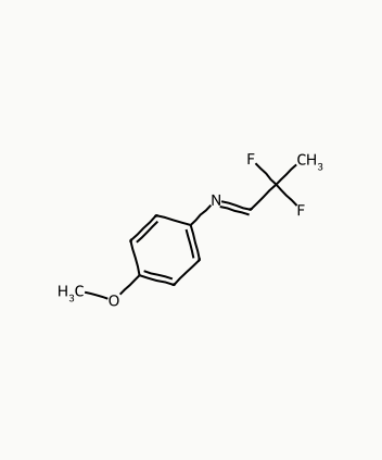 COc1ccc(N=CC(C)(F)F)cc1